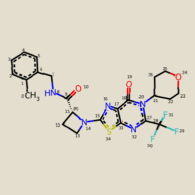 Cc1ccccc1CNC(=O)[C@H]1CCN1c1nc2c(=O)n(C3CCOCC3)c(C(F)(F)F)nc2s1